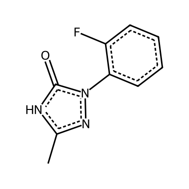 Cc1nn(-c2ccccc2F)c(=O)[nH]1